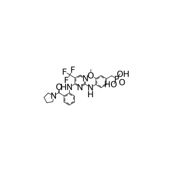 COc1cc(CP(=O)(O)O)ccc1Nc1ncc(C(F)(F)F)c(Nc2ccccc2C(=O)N2CCCC2)n1